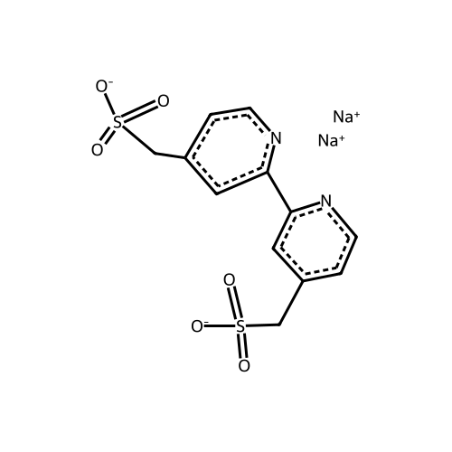 O=S(=O)([O-])Cc1ccnc(-c2cc(CS(=O)(=O)[O-])ccn2)c1.[Na+].[Na+]